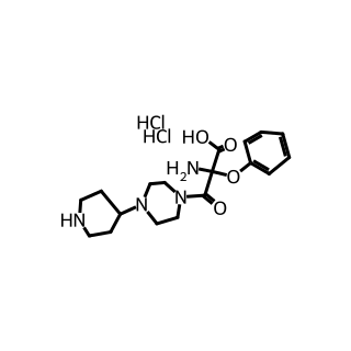 Cl.Cl.NC(Oc1ccccc1)(C(=O)O)C(=O)N1CCN(C2CCNCC2)CC1